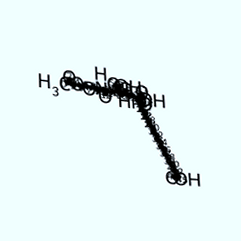 CC(=O)COCCOCCNC(=O)CC[C@H](CC(=O)CC[C@H](NC(=O)CCCCCCCCCCCCCCCCCCC(=O)O)C(=O)O)C(=O)O